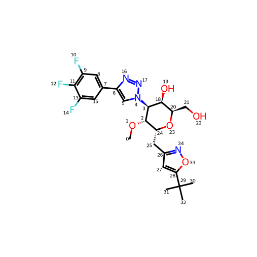 CO[C@@H]1[C@@H](n2cc(-c3cc(F)c(F)c(F)c3)nn2)[C@@H](O)[C@@H](CO)O[C@@H]1Cc1cc(C(C)(C)C)on1